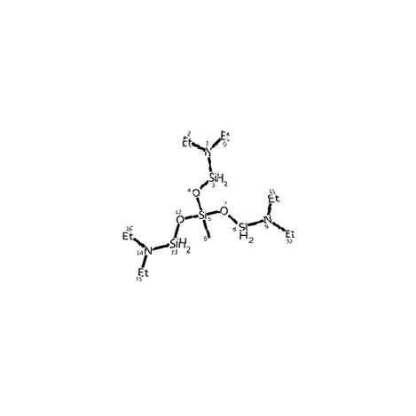 CCN(CC)[SiH2]O[Si](C)(O[SiH2]N(CC)CC)O[SiH2]N(CC)CC